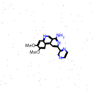 COc1cc2ncc3c(N)nc(-c4cnccn4)cc3c2cc1OC